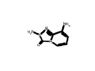 Nc1cccn2c(=O)n(P)nc12